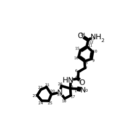 N#CC1(NC(=O)[CH]Cc2ccc(C(N)=O)cc2)CCN(C2CCCCC2)C1